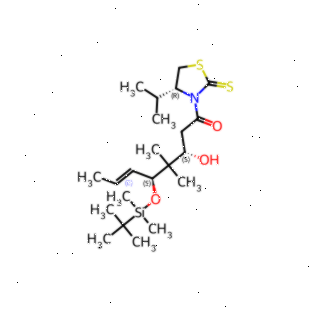 C/C=C/[C@H](O[Si](C)(C)C(C)(C)C)C(C)(C)[C@@H](O)CC(=O)N1C(=S)SC[C@H]1C(C)C